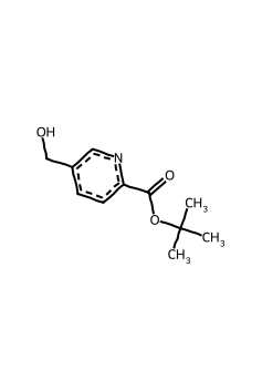 CC(C)(C)OC(=O)c1ccc(CO)cn1